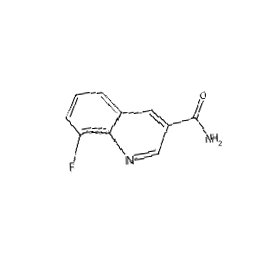 NC(=O)c1cnc2c(F)cccc2c1